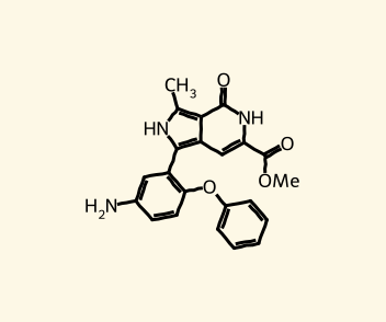 COC(=O)c1cc2c(-c3cc(N)ccc3Oc3ccccc3)[nH]c(C)c2c(=O)[nH]1